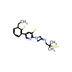 CCC1C=CC=CC(c2cnc(N3CC(=NCC(C)(C)S)C3)c(F)c2)=C1F